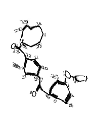 COc1cccc(C(=O)c2ccc(C(=O)N3CCCCC3)cc2)c1